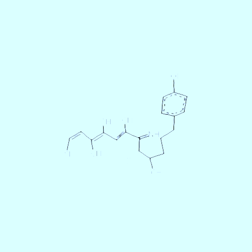 C\C(=C/C(C)=C(C)/C=C\S)C(=N)[C@@H](C)C(C)CCCc1ccc(O)cc1